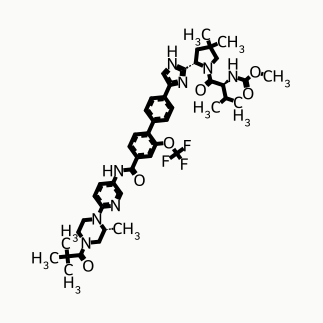 COC(=O)N[C@H](C(=O)N1CC(C)(C)C[C@H]1c1nc(-c2ccc(-c3ccc(C(=O)Nc4ccc(N5CCN(C(=O)C(C)(C)C)C[C@H]5C)nc4)cc3OC(F)(F)F)cc2)c[nH]1)C(C)C